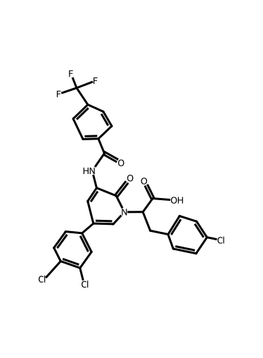 O=C(Nc1cc(-c2ccc(Cl)c(Cl)c2)cn(C(Cc2ccc(Cl)cc2)C(=O)O)c1=O)c1ccc(C(F)(F)F)cc1